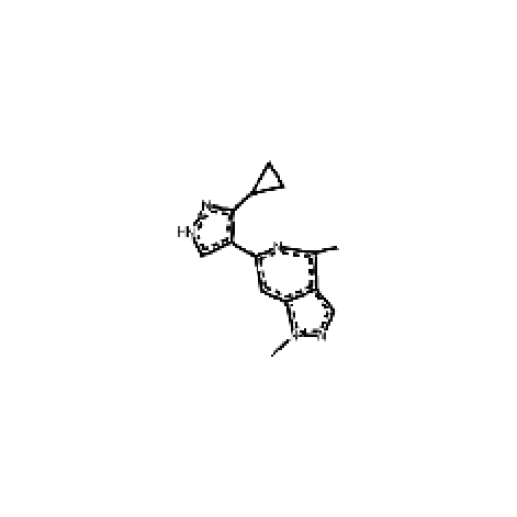 Cc1nc(-c2c[nH]nc2C2CC2)cc2c1cnn2C